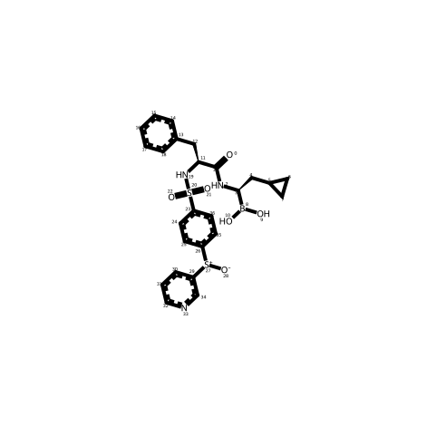 O=C(N[C@@H](CC1CC1)B(O)O)[C@H](Cc1ccccc1)NS(=O)(=O)c1ccc([S+]([O-])c2cccnc2)cc1